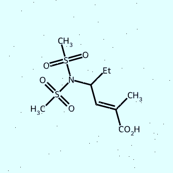 CCC(C=C(C)C(=O)O)N(S(C)(=O)=O)S(C)(=O)=O